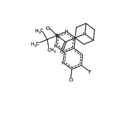 CC(C)(C)OC(=O)N1CC2CC(C1)N2c1nc(Cl)nc2nc(Cl)c(F)cc12